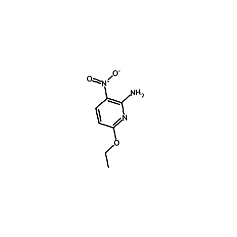 CCOc1ccc([N+](=O)[O-])c(N)n1